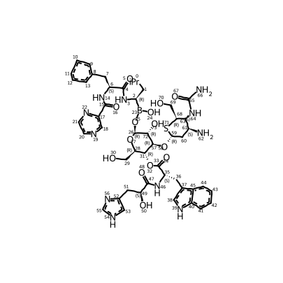 CC(C)C[C@H](NC(=O)[C@H](Cc1ccccc1)NC(=O)c1cnccn1)B(O)O[C@@H]1O[C@H](CO)[C@@H](OC(=O)[C@H](Cc2c[nH]c3ccccc23)NC(=O)[C@@H](O)Cc2c[nH]cn2)[C@H](O[C@H]2C[C@H](N)[C@H](NC(N)=O)[C@H](CO)S2)[C@H]1O